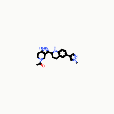 CC(=O)N1CCc2[nH]nc(C3CCc4cc(-c5cnn(C)c5)ccc4N3)c2C1